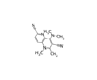 C=C1C(C#N)=C(N(C)C)c2nc(C#N)ccc2N1C